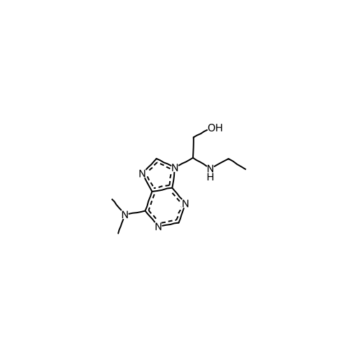 CCNC(CO)n1cnc2c(N(C)C)ncnc21